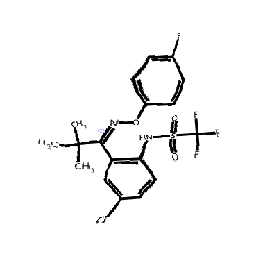 CC(C)(C)/C(=N/Oc1ccc(F)cc1)c1cc(Cl)ccc1NS(=O)(=O)C(F)(F)F